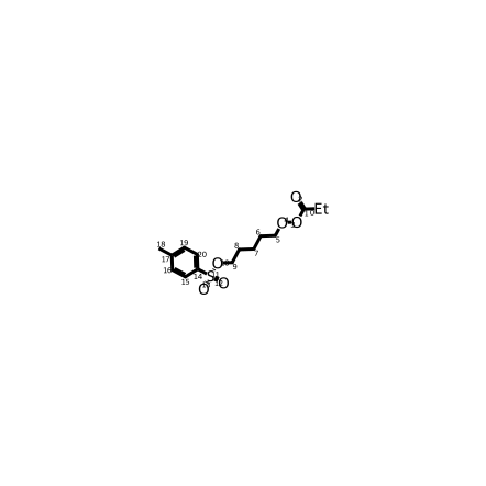 CCC(=O)OOCCCCCOS(=O)(=O)c1ccc(C)cc1